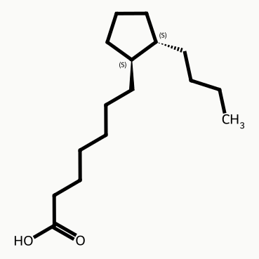 CCCC[C@H]1CCC[C@@H]1CCCCCCC(=O)O